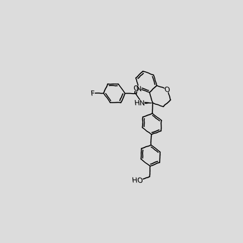 O=C(N[C@]1(c2ccc(-c3ccc(CO)cc3)cc2)CCOc2cccnc21)c1ccc(F)cc1